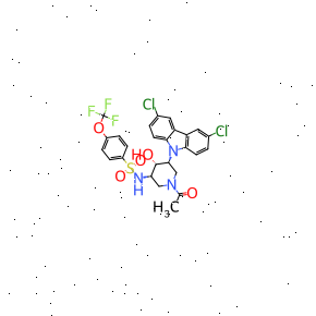 CC(=O)N1C[C@@H](NS(=O)(=O)c2ccc(OC(F)(F)F)cc2)[C@H](O)[C@@H](n2c3ccc(Cl)cc3c3cc(Cl)ccc32)C1